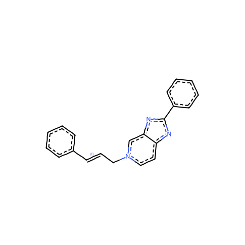 C(=C\c1ccccc1)/Cn1ccc2nc(-c3ccccc3)nc-2c1